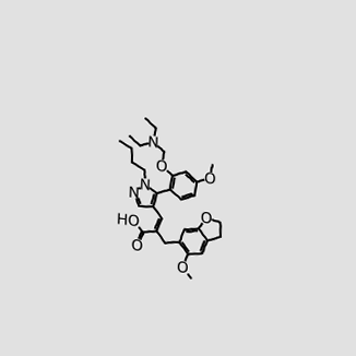 CCCCn1ncc(C=C(Cc2cc3c(cc2OC)CCO3)C(=O)O)c1-c1ccc(OC)cc1OCN(CC)CC